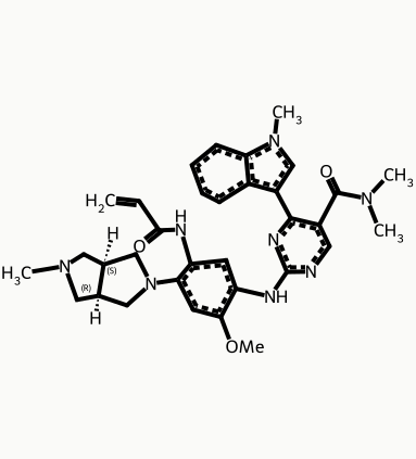 C=CC(=O)Nc1cc(Nc2ncc(C(=O)N(C)C)c(-c3cn(C)c4ccccc34)n2)c(OC)cc1N1C[C@H]2CN(C)C[C@H]2C1